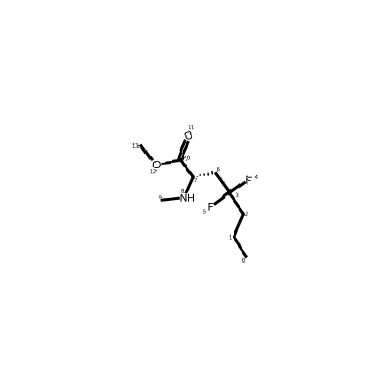 CCCC(F)(F)C[C@H](NC)C(=O)OC